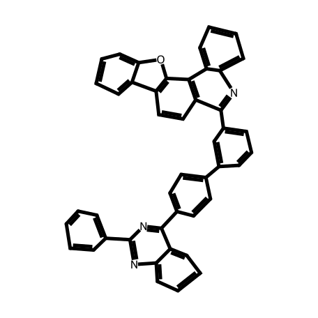 c1ccc(-c2nc(-c3ccc(-c4cccc(-c5nc6ccccc6c6c5ccc5c7ccccc7oc56)c4)cc3)c3ccccc3n2)cc1